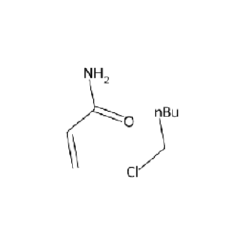 C=CC(N)=O.CCCCCCl